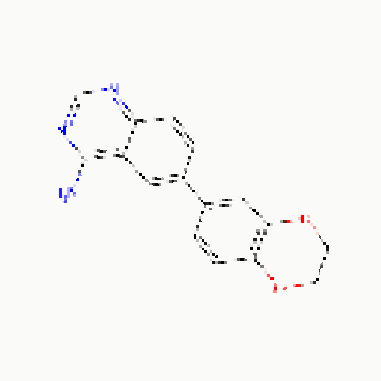 Nc1ncnc2ccc(-c3ccc4c(c3)OCCO4)cc12